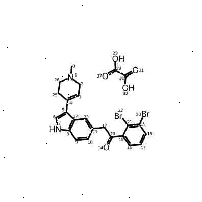 CN1CC=C(c2c[nH]c3ccc(CC(=O)c4cccc(Br)c4Br)cc23)CC1.O=C(O)C(=O)O